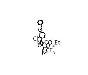 CCOC(=O)c1c(C2=C(Cl)CC(OCc3c#cccc3)=CC=C2)noc1/C(=C/N(C)C)C(=O)C(F)(F)F